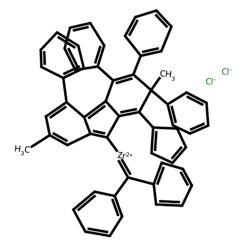 Cc1cc(-c2ccccc2)c2c(c1)=[C]([Zr+2]=[C](c1ccccc1)c1ccccc1)C1=C(C3=CC=CC3)C(C)(c3ccccc3)C(c3ccccc3)=C(c3ccccc3)C=21.[Cl-].[Cl-]